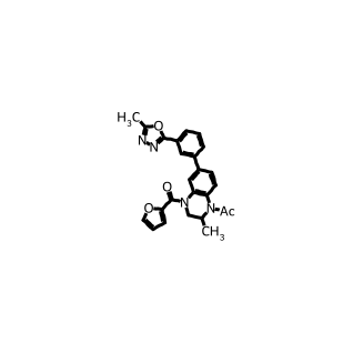 CC(=O)N1c2ccc(-c3cccc(-c4nnc(C)o4)c3)cc2N(C(=O)c2ccco2)CC1C